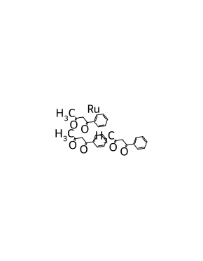 CC(=O)CC(=O)c1ccccc1.CC(=O)CC(=O)c1ccccc1.CC(=O)CC(=O)c1ccccc1.[Ru]